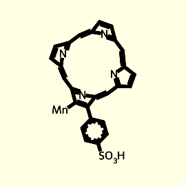 O=S(=O)(O)c1ccc(C2=[C]([Mn])C3=NC2=CC2=NC(=CC4=NC(=CC5=NC(=C3)C=C5)C=C4)C=C2)cc1